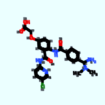 CN(C)C(N)c1ccc(C(=O)Nc2ccc(OCC(=O)O)cc2C(=O)Nc2ccc(Cl)cn2)cc1